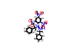 CC(C)(NN(c1c([N+](=O)[O-])cc([N+](=O)[O-])cc1[N+](=O)[O-])C(C)(C)c1ccccc1)c1ccccc1